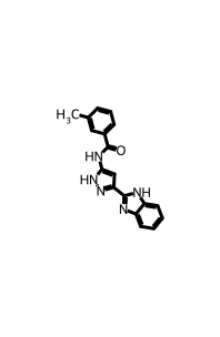 Cc1cccc(C(=O)Nc2cc(-c3nc4ccccc4[nH]3)n[nH]2)c1